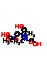 C[C@@H]1CN(C(c2cccc(O)c2)c2cccc(C(=O)N(C)CC(=O)O)c2)[C@H](C)CN1Cc1ccc(CO)o1